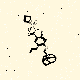 C/C=C/c1cc(C(=O)NS(=O)(=O)N2CCC2)c(F)cc1OCC12CC3CC(CC(C3)C1)C2